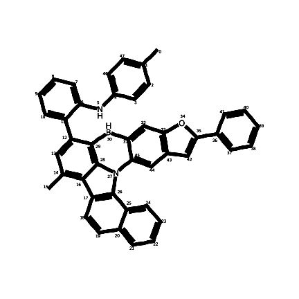 Cc1ccc(Nc2ccccc2-c2cc(C)c3c4ccc5ccccc5c4n4c3c2Bc2cc3oc(-c5ccccc5)cc3cc2-4)cc1